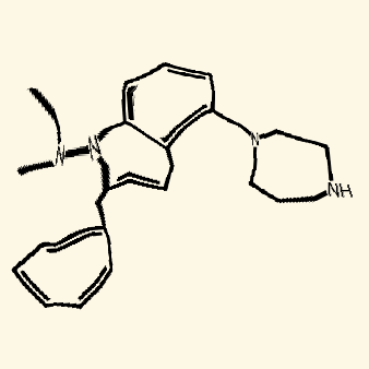 CN(C)n1c(-c2ccccc2)cc2c(N3CCNCC3)cccc21